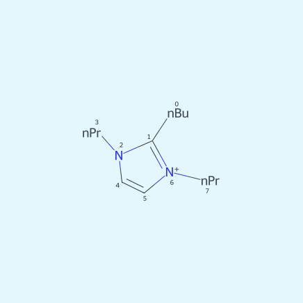 CCCCc1n(CCC)cc[n+]1CCC